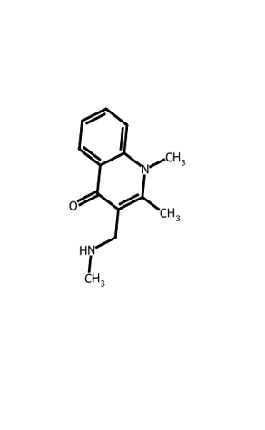 CNCc1c(C)n(C)c2ccccc2c1=O